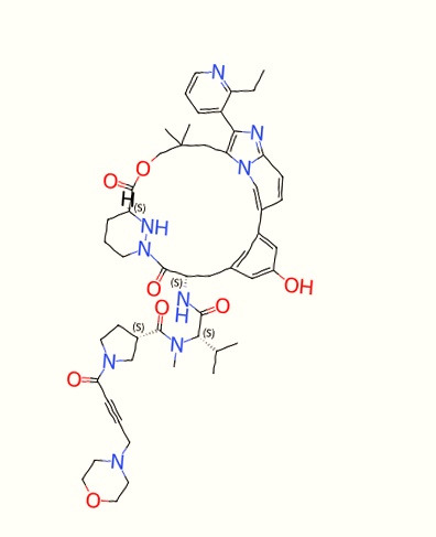 CCc1ncccc1-c1nc2ccc3cn2c1CC(C)(C)COC(=O)[C@@H]1CCCN(N1)C(=O)[C@@H](NC(=O)[C@H](C(C)C)N(C)C(=O)[C@H]1CCN(C(=O)C#CCN2CCOCC2)C1)Cc1cc(O)cc-3c1